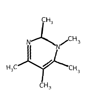 CC1=NC(C)N(C)C(C)=C1C